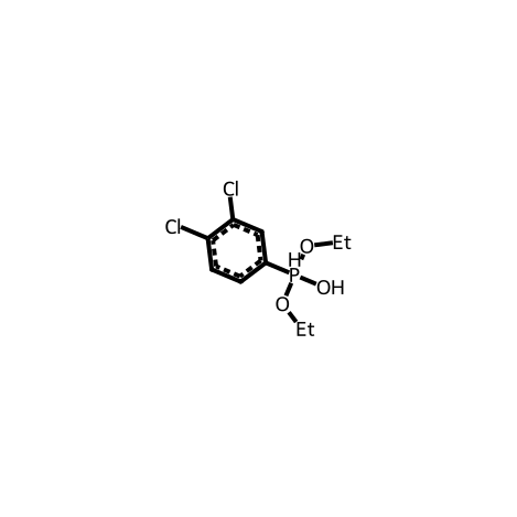 CCO[PH](O)(OCC)c1ccc(Cl)c(Cl)c1